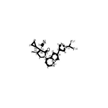 C[C@@H]1CN(c2ccnn3cc(-c4cnn(C(F)F)c4)cc23)C(=O)[C@]1(C#N)C1CC1